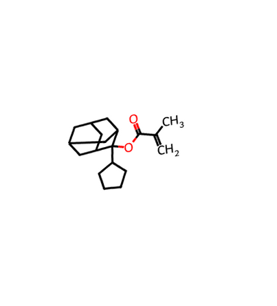 C=C(C)C(=O)OC1(C2CCCC2)C2CC3CC(C2)CC1C3